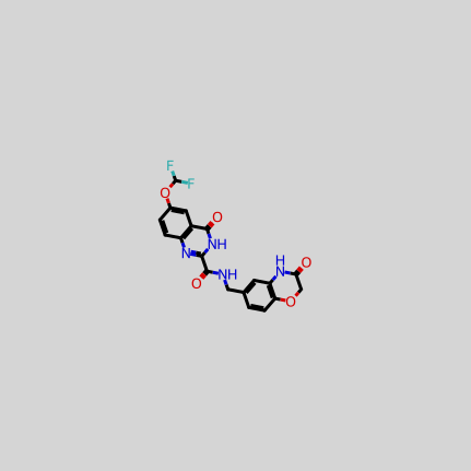 O=C1COc2ccc(CNC(=O)c3nc4ccc(OC(F)F)cc4c(=O)[nH]3)cc2N1